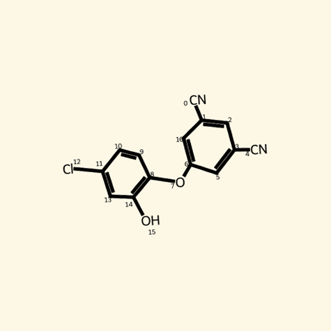 N#Cc1cc(C#N)cc(Oc2ccc(Cl)cc2O)c1